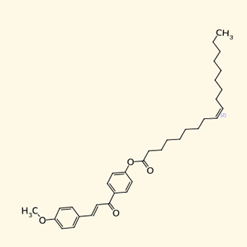 CCCCCCCC/C=C\CCCCCCCC(=O)Oc1ccc(C(=O)C=Cc2ccc(OC)cc2)cc1